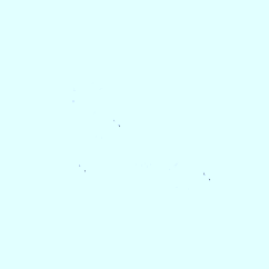 Cc1ccc2c(c1)c1c(n2C)C(C#Cc2ccncc2)CN(C)C1